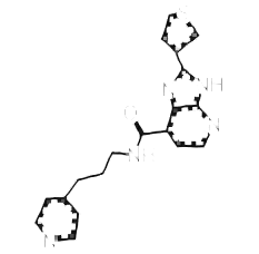 O=C(NCCCc1ccncc1)c1ccnc2[nH]c(-c3ccsc3)nc12